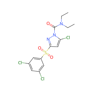 CCN(CC)C(=O)n1nc(S(=O)(=O)c2cc(Cl)cc(Cl)c2)cc1Cl